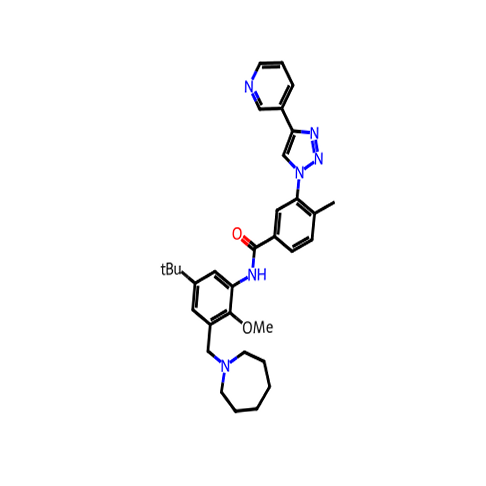 COc1c(CN2CCCCCC2)cc(C(C)(C)C)cc1NC(=O)c1ccc(C)c(-n2cc(-c3cccnc3)nn2)c1